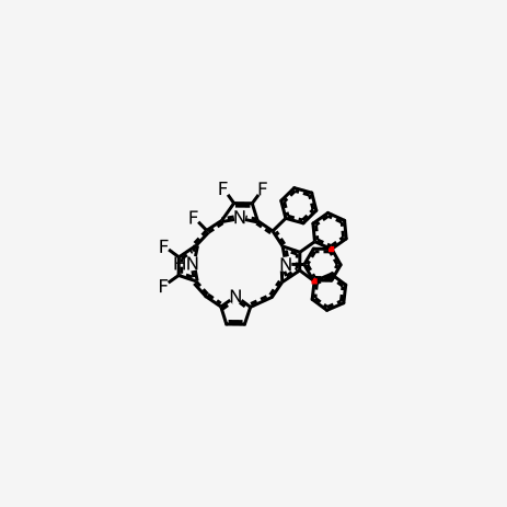 FC1=C(F)c2nc1c(F)c1[nH]c(cc3nc(cc4c(-c5ccccc5)c(-c5ccccc5)c(c2-c2ccccc2)n4-c2ccccc2)C=C3)c(F)c1F